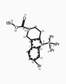 CC(C)[Si](C(C)C)(C(C)C)n1c2c(c3ccc(Br)cc31)CN(C(=O)OC(C)(C)C)CC2